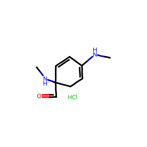 CNC1=CCC(C=O)(NC)C=C1.Cl